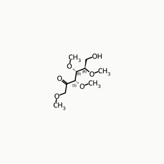 COCC(=O)[C@@H](OC)[C@H](OC)[C@@H](CO)OC